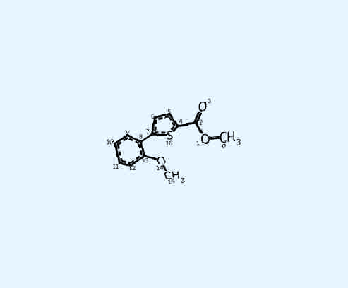 COC(=O)c1ccc(-c2ccccc2OC)s1